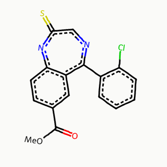 COC(=O)c1ccc2nc(=S)cnc(-c3ccccc3Cl)c2c1